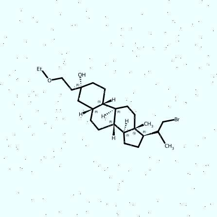 CCOCC[C@@]1(O)CC[C@H]2[C@H](CC[C@@H]3[C@@H]2CC[C@]2(C)[C@@H](C(C)CBr)CC[C@@H]32)C1